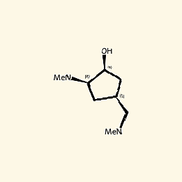 CNC[C@@H]1C[C@H](O)[C@H](NC)C1